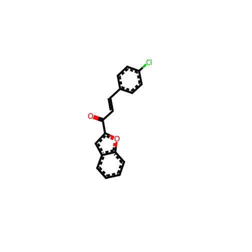 O=C(C=Cc1ccc(Cl)cc1)c1cc2ccccc2o1